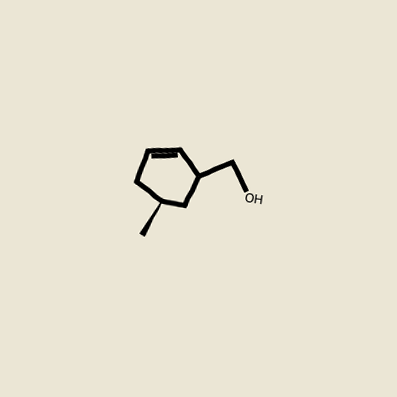 C[C@H]1CC=CC(CO)C1